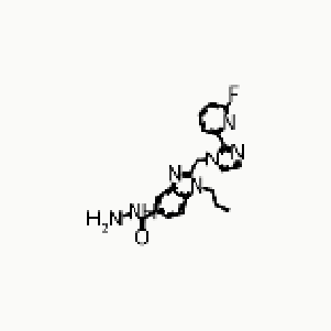 CCCn1c(Cn2ccnc2-c2cccc(F)n2)nc2cc(C(=O)NN)ccc21